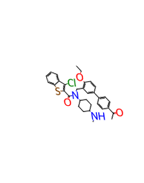 CCOc1ccc(-c2ccc(C(C)=O)cc2)cc1CN(C(=O)c1sc2ccccc2c1Cl)[C@H]1CC[C@@H](NC)CC1